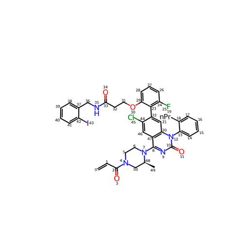 C=CC(=O)N1CCN(c2nc(=O)n(-c3ccccc3CCC)c3cc(-c4c(F)cccc4OCCC(=O)NCc4ccccc4I)c(Cl)cc23)[C@@H](C)C1